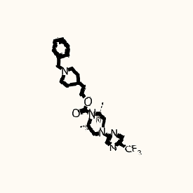 C[C@@H]1CN(c2cnc(C(F)(F)F)cn2)C[C@H](C)N1C(=O)OCCC1CCN(Cc2ccccc2)CC1